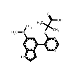 CN(C)c1cc(-c2cncnc2SC(C)(C)C(=O)O)c2cc[nH]c2c1